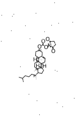 CC(C)CCC[C@@H](C)C1CC[C@H]2[C@@H]3CC=C4C[C@@H](OC(=O)ON5C(=O)CCC5=O)CC[C@]4(C)[C@H]3CC[C@]12C